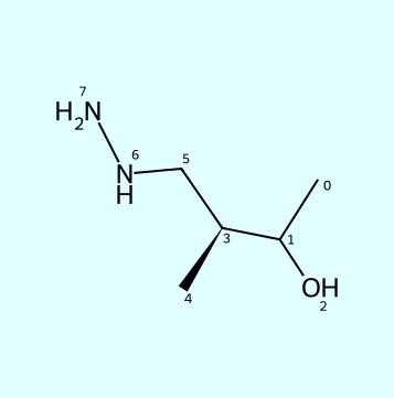 CC(O)[C@@H](C)CNN